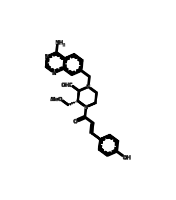 COC[C@@H]1C(C=O)N(Cc2ccc3c(N)ncnc3c2)CCN1C(=O)/C=C/c1ccc(O)cc1